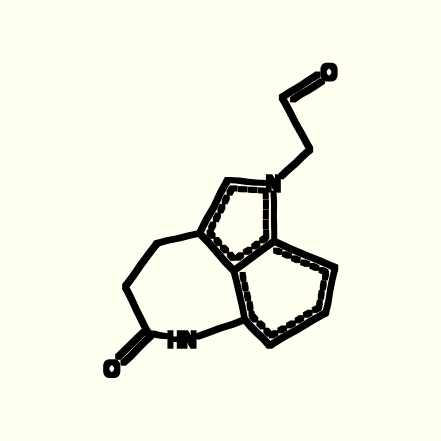 O=CCn1cc2c3c(cccc31)NC(=O)CC2